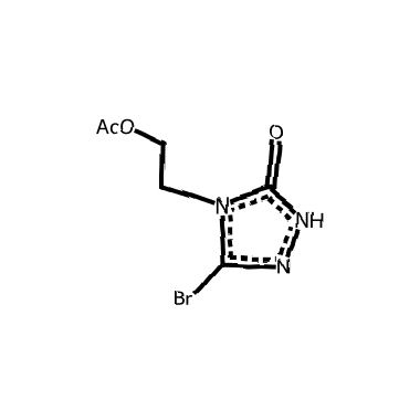 CC(=O)OCCn1c(Br)n[nH]c1=O